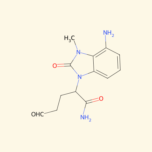 Cn1c(=O)n(C(CCC=O)C(N)=O)c2cccc(N)c21